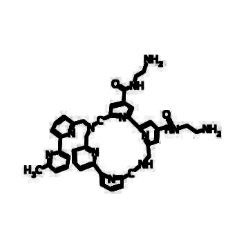 Cc1cccc(-c2cccc(CN3Cc4cccc(n4)-c4cccc(n4)CNCc4cc(C(=O)NCCN)cc(n4)-c4cc(C(=O)NCCN)cc(n4)C3)n2)n1